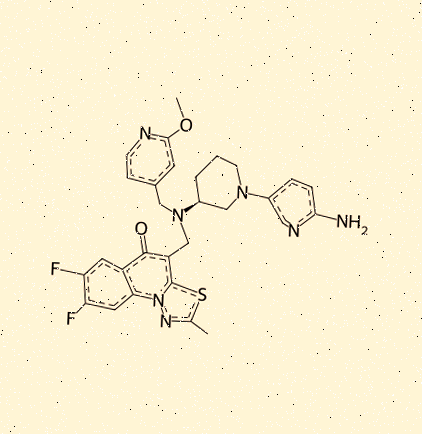 COc1cc(CN(Cc2c(=O)c3cc(F)c(F)cc3n3nc(C)sc23)[C@H]2CCCN(c3ccc(N)nc3)C2)ccn1